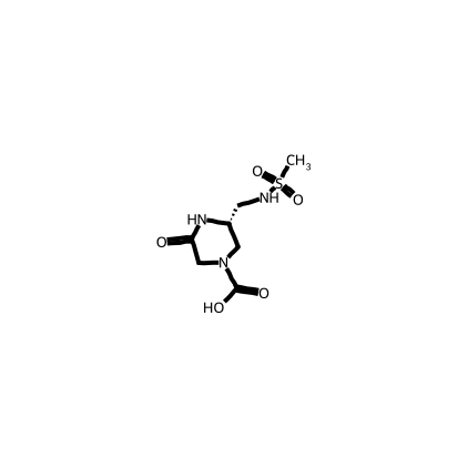 CS(=O)(=O)NC[C@@H]1CN(C(=O)O)CC(=O)N1